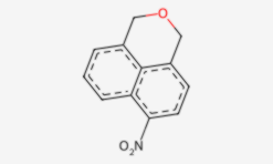 O=[N+]([O-])c1ccc2c3c(cccc13)COC2